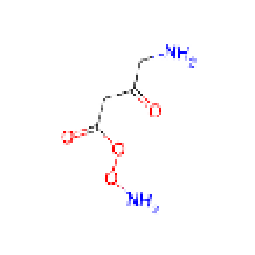 NCC(=O)CC(=O)OON